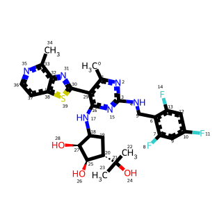 Cc1nc(NCc2c(F)cc(F)cc2F)nc(NC2C[C@H](C(C)(C)O)[C@@H](O)[C@H]2O)c1-c1nc2c(C)nccc2s1